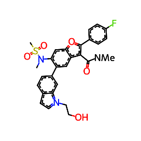 CNC(=O)c1c(-c2ccc(F)cc2)oc2cc(N(C)S(C)(=O)=O)c(-c3ccc4ccn(CCO)c4c3)cc12